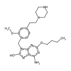 CCCCOc1nc(N)c2nc(O)n(Cc3ccc(CCN4CCNCC4)cc3OC)c2n1